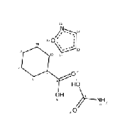 NC(=O)O.O=C(O)C1CCCCC1.c1cnoc1